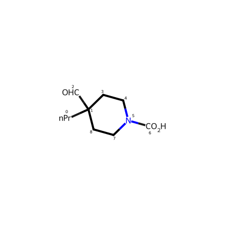 CCCC1(C=O)CCN(C(=O)O)CC1